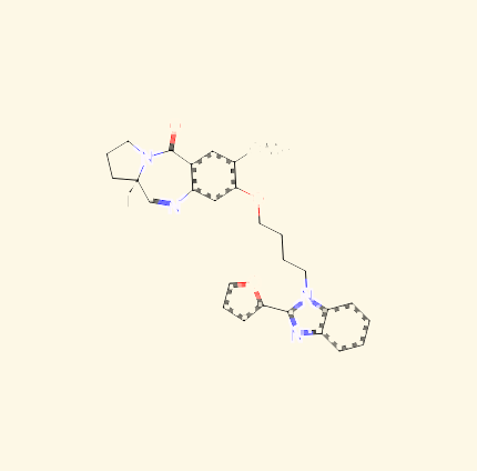 COc1cc2c(cc1OCCCCn1c(-c3ccco3)nc3ccccc31)N=C[C@@H]1CCCN1C2=O